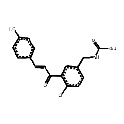 CC(C)(C)C(=O)NCc1ccc(Cl)c(C(=O)C=Cc2ccc(C(F)(F)F)cc2)c1